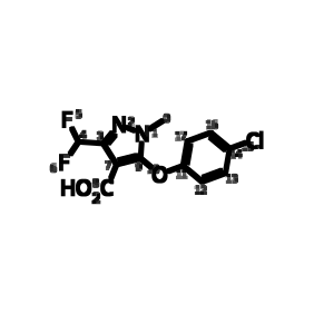 Cn1nc(C(F)F)c(C(=O)O)c1Oc1ccc(Cl)cc1